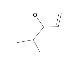 C=CC([O])C(C)C